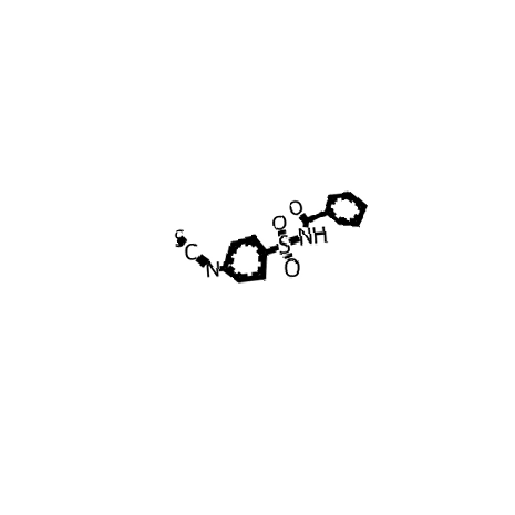 O=C(NS(=O)(=O)c1ccc(N=C=S)cc1)c1ccccc1